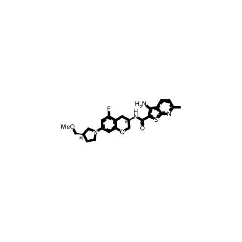 COC[C@@H]1CCN(c2cc(F)c3c(c2)OC[C@H](NC(=O)c2sc4nc(C)ccc4c2N)C3)C1